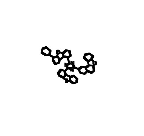 C1=C(c2nc(-c3cccc4oc5c(-c6ccccc6)cccc5c34)nc(-c3cccc4sc5ccccc5c34)n2)CCc2ccc3oc4ccccc4c3c21